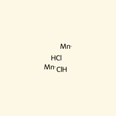 Cl.Cl.[Mn].[Mn]